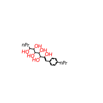 CCCc1ccc(C=C(O)C(O)C(O)C(O)C(O)C(O)CCC)cc1